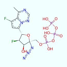 Cc1ncnn2c([C@@H]3O[C@@](COP(=O)(O)OP(=O)(O)OP(=O)(O)O)(N=[N+]=[N-])[C@@H](O)[C@H]3F)cc(F)c12